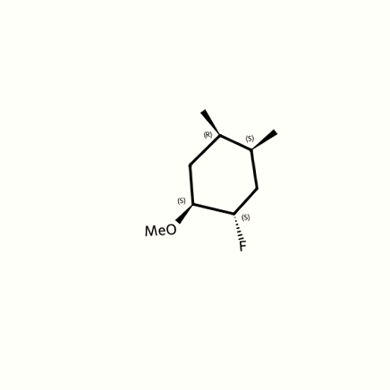 CO[C@H]1C[C@@H](C)[C@@H](C)C[C@@H]1F